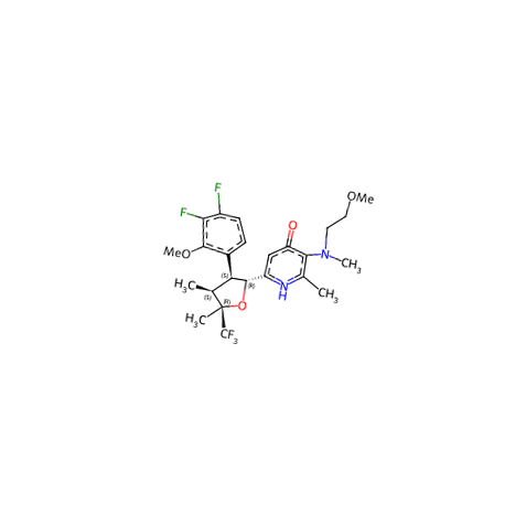 COCCN(C)c1c(C)[nH]c([C@@H]2O[C@@](C)(C(F)(F)F)[C@@H](C)[C@H]2c2ccc(F)c(F)c2OC)cc1=O